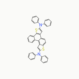 c1ccc(N(c2ccccc2)c2cc3c(ccc4c5cc(N(c6ccccc6)c6ccccc6)sc5c5ccccc5c34)s2)cc1